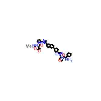 COC(=O)N[C@H](C(=O)N1CCC[C@H]1c1ncc(-c2ccc3cc(-c4ccc(-c5cnc([C@@H]6COCCN6C(=O)[C@H](N)c6ccccc6)[nH]5)cc4)ccc3c2)[nH]1)C1COC1